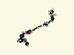 C[C@@H](NC(=O)c1cccc(NC2(c3nnc(-c4ccncc4)[nH]3)CCN(C)CC2)c1)c1ccc(OCCCCCOCCCOCC(=O)NCCNc2ccc3c(c2)CN(C2CCC(=O)NC2=O)C3O)cc1